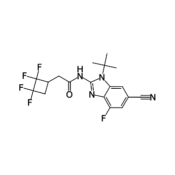 CC(C)(C)n1c(NC(=O)CC2CC(F)(F)C2(F)F)nc2c(F)cc(C#N)cc21